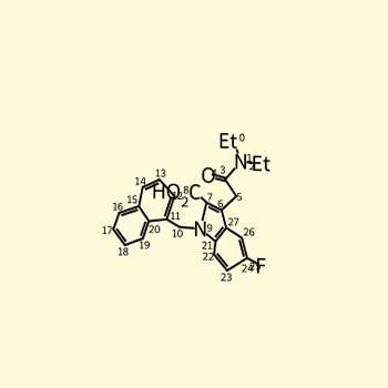 CCN(CC)C(=O)Cc1c(C(=O)O)n(Cc2cccc3ccccc23)c2ccc(F)cc12